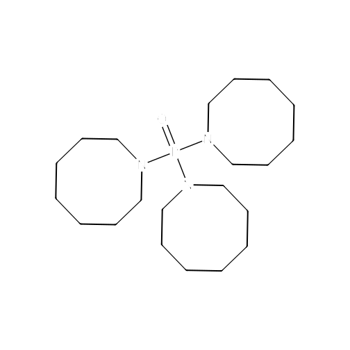 O=P(N1CCCCCCC1)(N1CCCCCCC1)N1CCCCCCC1